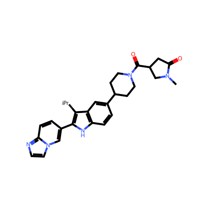 CC(C)c1c(-c2ccc3nccn3c2)[nH]c2ccc(C3CCN(C(=O)C4CC(=O)N(C)C4)CC3)cc12